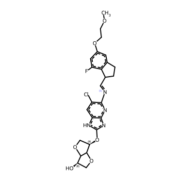 COCCOc1cc(F)c2c(c1)CCC2/C=N/c1nc2nc(O[C@@H]3COC4C3OC[C@H]4O)[nH]c2cc1Cl